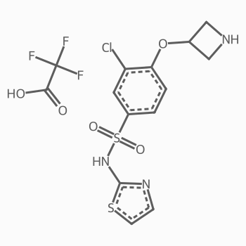 O=C(O)C(F)(F)F.O=S(=O)(Nc1nccs1)c1ccc(OC2CNC2)c(Cl)c1